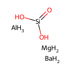 O=[Si](O)O.[AlH3].[BaH2].[MgH2]